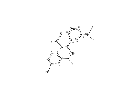 Cc1nc(N[C@H](C)c2cccc(Br)c2)c2nc(N(C)C)ccc2n1